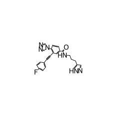 O=C(NCCCc1cn[nH]c1)c1ccc(-n2cnnc2)c(C#Cc2ccc(F)cc2)c1